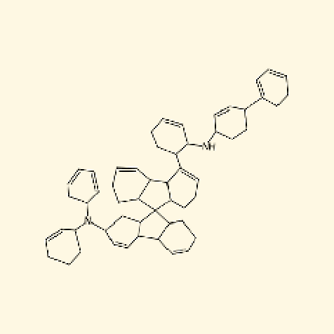 C1=CCCC(C2C=CC(NC3C=CCCC3C3=CCCC4C3C3C=CCCC3C43C4CCC=CC4C4C=CC(N(C5C=CC=CC5)C5C=CCCC5)CC43)CC2)=C1